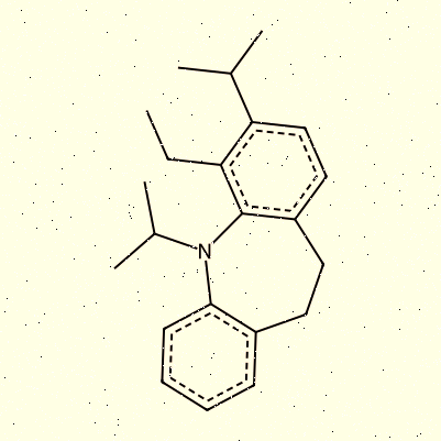 CCc1c(C(C)C)ccc2c1N(C(C)C)c1ccccc1CC2